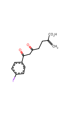 C=C(CCC(=O)CC(=O)c1ccc(I)cc1)C(=O)O